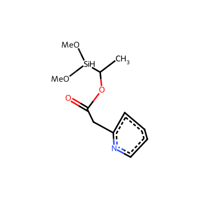 CO[SiH](OC)C(C)OC(=O)Cc1ccccn1